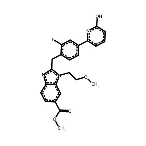 COCCn1c(Cc2ccc(-c3cccc(O)n3)cc2F)nc2ccc(C(=O)OC)cc21